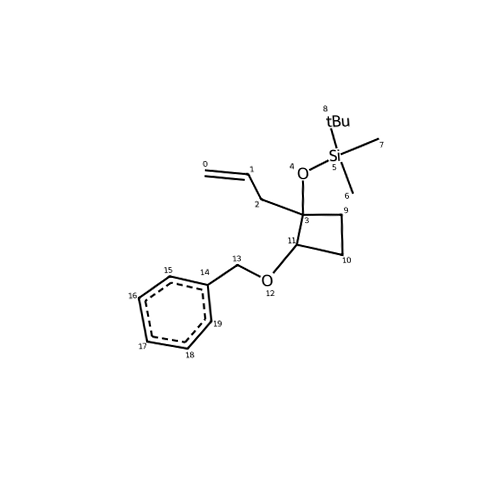 C=CCC1(O[Si](C)(C)C(C)(C)C)CCC1OCc1ccccc1